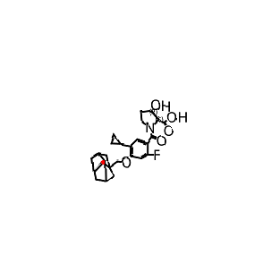 O=C(O)[C@@H]1[C@H](O)CCN1C(=O)c1cc(C2CC2)c(OCC23CC4CC(CC(C4)C2)C3)cc1F